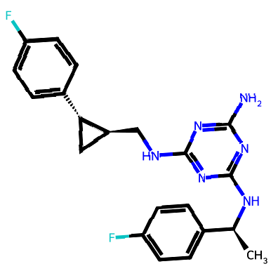 C[C@H](Nc1nc(N)nc(NC[C@H]2C[C@@H]2c2ccc(F)cc2)n1)c1ccc(F)cc1